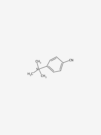 [CH3][Sn]([CH3])([CH3])[c]1ccc(C#N)cc1